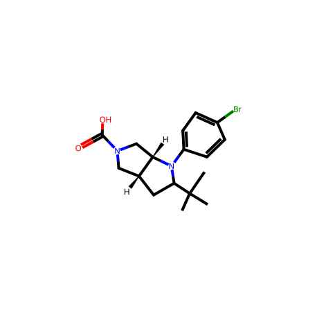 CC(C)(C)C1C[C@@H]2CN(C(=O)O)C[C@@H]2N1c1ccc(Br)cc1